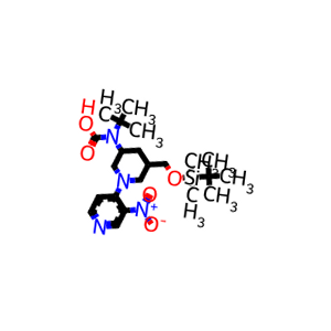 CC(C)(C)N(C(=O)O)C1CC(CO[Si](C)(C)C(C)(C)C)CN(c2ccncc2[N+](=O)[O-])C1